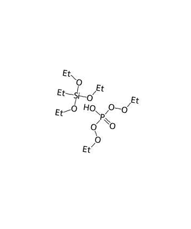 CCOOP(=O)(O)OOCC.CCO[Si](CC)(OCC)OCC